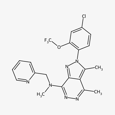 Cc1nnc(N(C)Cc2ccccn2)c2nn(-c3ccc(Cl)cc3OC(F)(F)F)c(C)c12